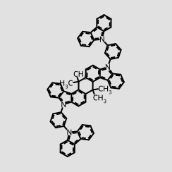 CC1(C)c2ccc3c(c2C(C)(C)c2ccc4c(c21)c1ccccc1n4-c1cccc(-n2c4ccccc4c4ccccc42)c1)c1ccccc1n3-c1cccc(-n2c3ccccc3c3ccccc32)c1